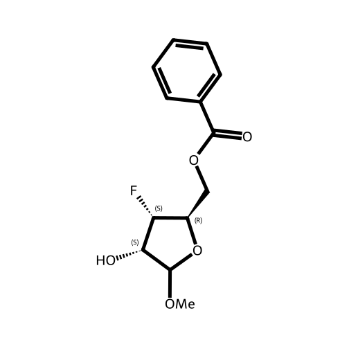 COC1O[C@H](COC(=O)c2ccccc2)[C@@H](F)[C@H]1O